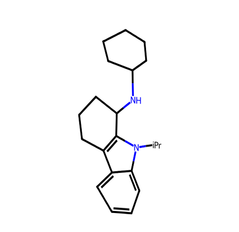 CC(C)n1c2c(c3ccccc31)CCCC2NC1CCCCC1